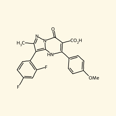 COc1ccc(-c2[nH]c3c(-c4ccc(F)cc4F)c(C)nn3c(=O)c2C(=O)O)cc1